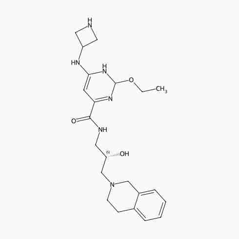 CCOC1N=C(C(=O)NC[C@H](O)CN2CCc3ccccc3C2)C=C(NC2CNC2)N1